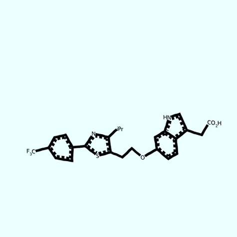 CC(C)c1nc(-c2ccc(C(F)(F)F)cc2)sc1CCOc1ccc2c(CC(=O)O)c[nH]c2c1